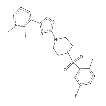 Cc1ccc(F)cc1S(=O)(=O)N1CCN(c2nc(-c3cccc(C)c3C)cs2)CC1